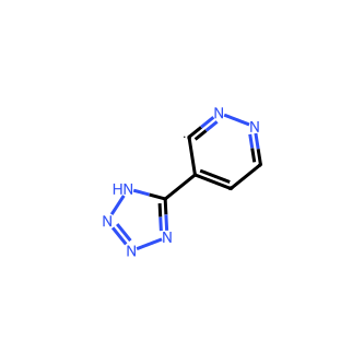 [c]1nnccc1-c1nnn[nH]1